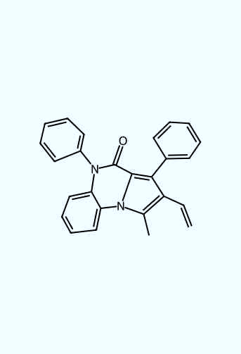 C=Cc1c(-c2ccccc2)c2c(=O)n(-c3ccccc3)c3ccccc3n2c1C